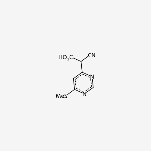 CSc1cc(C(C#N)C(=O)O)ncn1